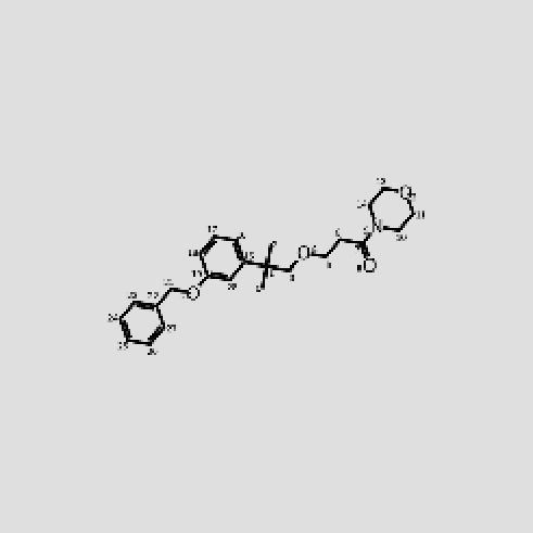 CC(C)(COCCC(=O)N1CCOCC1)c1cccc(OCc2ccccc2)c1